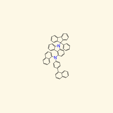 c1ccc(C2(n3c4ccccc4c4c(N(c5ccc(-c6cccc7ccccc67)cc5)c5cccc6ccccc56)cccc43)c3ccccc3-c3ccccc32)cc1